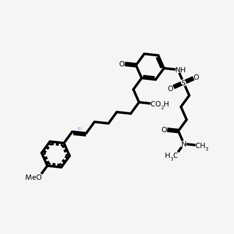 COc1ccc(/C=C/CCCCC(CC2=CC(NS(=O)(=O)CCCC(=O)N(C)C)=CCC2=O)C(=O)O)cc1